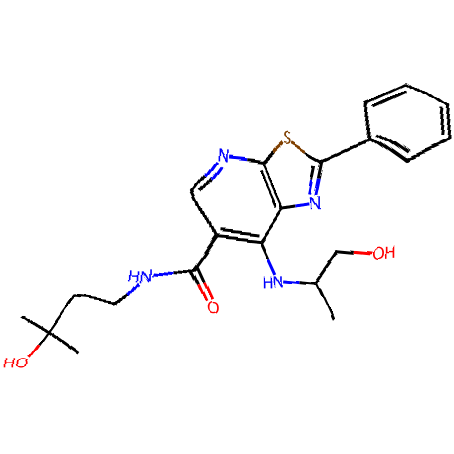 CC(CO)Nc1c(C(=O)NCCC(C)(C)O)cnc2sc(-c3ccccc3)nc12